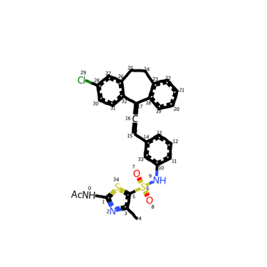 CC(=O)Nc1nc(C)c(S(=O)(=O)Nc2cccc(C=C=C3c4ccccc4CCc4cc(Cl)ccc43)c2)s1